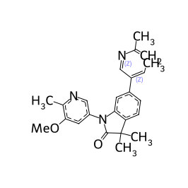 C=C(C)/N=C\C(=C/C)c1ccc2c(c1)N(c1cnc(C)c(OC)c1)C(=O)C2(C)C